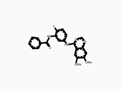 COc1cc2ncnc(Nc3ccc(F)c(NC(=O)c4ccccc4)c3)c2cc1OC